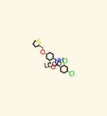 O=C(Nc1ccc(OCc2cccs2)cc1C(=O)[O-])c1ccc(Cl)cc1Cl.[Li+]